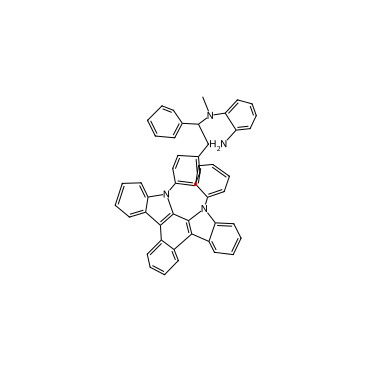 CN(c1ccccc1N)C(Cc1ccc(-n2c3ccccc3c3c4ccccc4c4c5ccccc5n(-c5ccccc5)c4c32)cc1)c1ccccc1